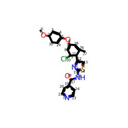 COC1C=CC(OC2=CC(Cl)C(c3csc(NC(=O)c4ccncc4)n3)C(C)=C2)=CC1